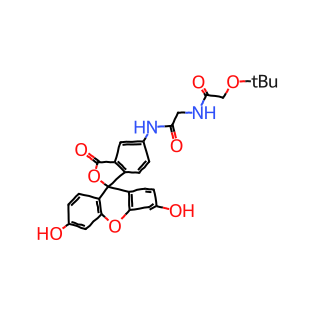 CC(C)(C)OCC(=O)NCC(=O)Nc1ccc2c(c1)C(=O)OC21c2ccc(O)cc2Oc2cc(O)ccc21